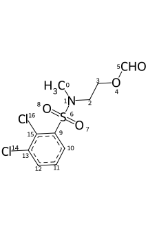 CN(CCOC=O)S(=O)(=O)c1cccc(Cl)c1Cl